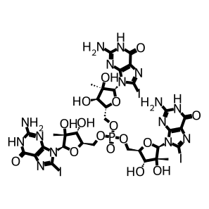 C[C@@]1(O)[C@H](O)[C@@H](COP(=O)(OC[C@H]2O[C@@H](n3c(I)nc4c(=O)[nH]c(N)nc43)[C@](C)(O)[C@@H]2O)OC[C@H]2O[C@@H](n3c(I)nc4c(=O)[nH]c(N)nc43)[C@](C)(O)[C@@H]2O)O[C@H]1n1c(I)nc2c(=O)[nH]c(N)nc21